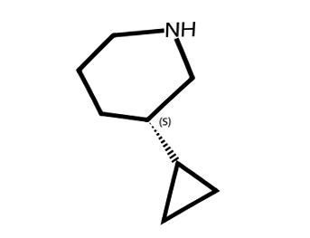 C1CNC[C@H](C2CC2)C1